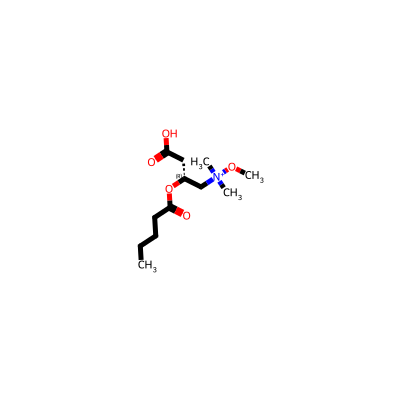 CCCCC(=O)O[C@H](CC(=O)O)C[N+](C)(C)OC